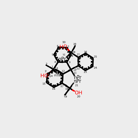 CCCC(C)(O)c1ccccc1C(CCC)(c1ccccc1C(C)(O)CCC)c1ccccc1C(C)(O)CCC